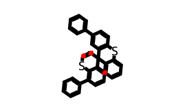 c1ccc(-c2ccc3c(c2)C2(c4ccccc4S3)c3ccccc3Sc3c(-c4ccccc4)cccc32)cc1